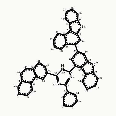 c1ccc(C2=NC(c3cc(-c4cc5oc6ccccc6c5c5ccccc45)cc4oc5ccccc5c34)NC(c3ccc4ccc5ccccc5c4c3)=N2)cc1